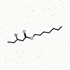 CCCCCCCOC(=O)CC(Br)CC